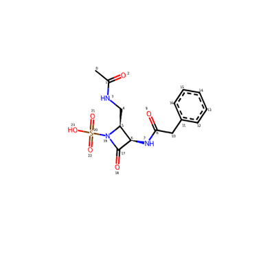 CC(=O)NC[C@H]1[C@@H](NC(=O)Cc2ccccc2)C(=O)N1S(=O)(=O)O